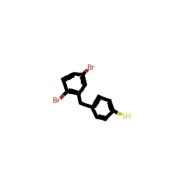 Sc1ccc(Cc2cc(Br)ccc2Br)cc1